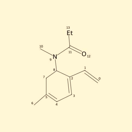 C=CC1=CC=C(C)CC1N(C)C(=O)CC